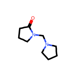 O=C1CCCN1CN1CCCC1